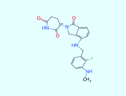 CNc1cccc(CNc2cccc3c2CN([C@H]2CCC(=O)NC2=O)C3=O)c1F